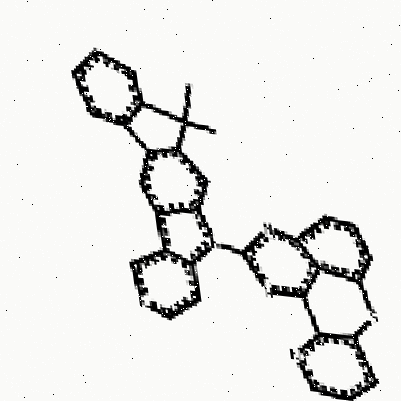 CC1(C)c2ccccc2-c2cc3c4cnccc4n(-c4nc5c6c(cccc6n4)Sc4cccnc4-5)c3cc21